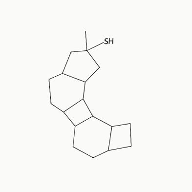 CC1(S)CC2CCC3C4CCC5CCC5C4C3C2C1